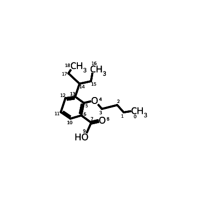 CCCCOc1c(C(=O)O)cccc1C(CC)CC